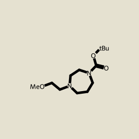 COCCN1CCCN(C(=O)OC(C)(C)C)CC1